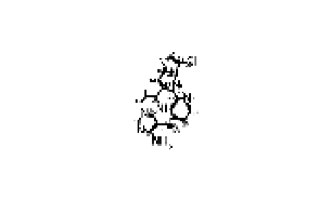 CC[C@H](Nc1ncnc(N)c1C#N)c1cc2ncc(Cl)n2nc1-c1ccccn1